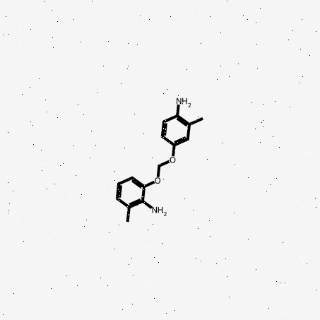 Cc1cc(OCOc2cccc(C)c2N)ccc1N